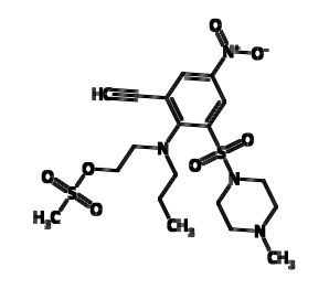 C#Cc1cc([N+](=O)[O-])cc(S(=O)(=O)N2CCN(C)CC2)c1N(CCC)CCOS(C)(=O)=O